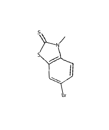 Cn1c(=S)sc2cc(Br)ccc21